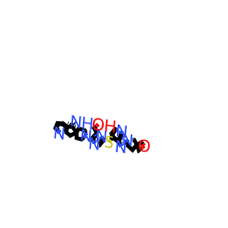 N[C@@H]1c2cccnc2CC12CCN(c1ncc(Sc3ccnc4c3nc3n4CC4(COC4)C3)nc1CO)CC2